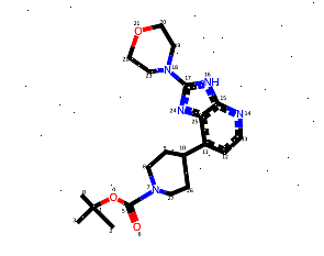 CC(C)(C)OC(=O)N1CCC(c2ccnc3[nH]c(N4CCOCC4)nc23)CC1